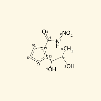 CC(O)CO.O=C(N[N+](=O)[O-])c1cccs1